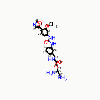 COc1cc(NC(=O)Nc2cccc(CNC(=O)OC[C@H](N)CN)c2)ccc1-c1cnco1